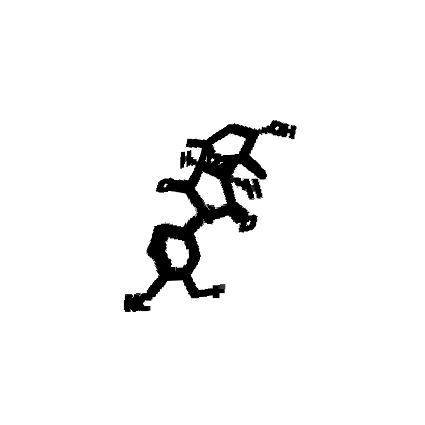 CC12C[C@H](O)C(C)(O1)[C@H]1C(=O)N(c3ccc(C#N)c(CF)c3)C(=O)[C@H]12